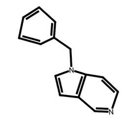 c1ccc(Cn2ccc3cnccc32)cc1